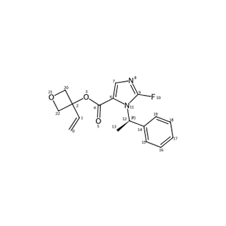 C=CC1(OC(=O)c2cnc(F)n2[C@H](C)c2ccccc2)COC1